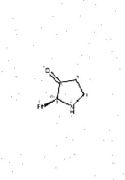 CC[C@@H]1NCCC1=O